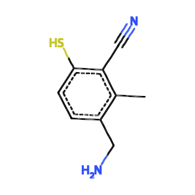 Cc1c(CN)ccc(S)c1C#N